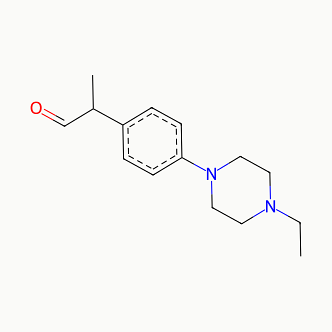 CCN1CCN(c2ccc(C(C)C=O)cc2)CC1